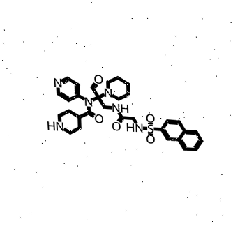 O=CC(CNC(=O)CNS(=O)(=O)c1ccc2ccccc2c1)(N1CCCCC1)N(C(=O)C1CCNCC1)c1ccncc1